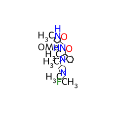 COc1cc(C)[nH]c(=O)c1CNC(=O)c1c(C)n([C@H](C)C2CCN(CC(C)(C)F)CC2)c2ccccc12